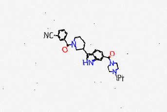 CC(C)N1CCN(C(=O)c2ccc3c(C4CCCN(C(=O)c5cccc(C#N)c5)C4)c[nH]c3c2)CC1